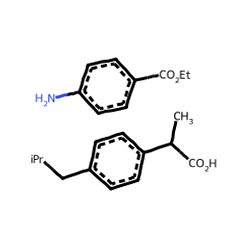 CC(C)Cc1ccc(C(C)C(=O)O)cc1.CCOC(=O)c1ccc(N)cc1